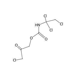 O=C(CCl)COC(=O)NC(Cl)(Cl)CCl